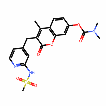 Cc1c(Cc2ccnc(NS(C)(=O)=O)c2)c(=O)oc2cc(OC(=O)N(C)C)ccc12